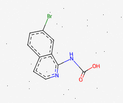 O=C(O)Nc1nccc2ccc(Br)cc12